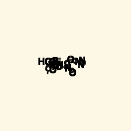 CC1CC2CC(C1)C(NC(=O)c1ccc(-c3cn(C4CCOC4)c4cc(OC5CCN(c6ncccn6)CC5)ccc34)nc1C(F)(F)F)(C(=O)O)C2